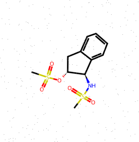 CS(=O)(=O)N[C@@H]1c2ccccc2C[C@H]1OS(C)(=O)=O